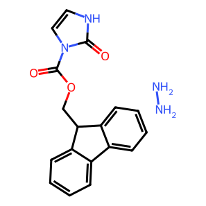 NN.O=C(OCC1c2ccccc2-c2ccccc21)n1cc[nH]c1=O